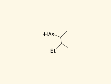 CCC(C)C(C)[AsH]